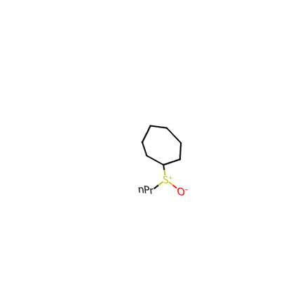 CCC[S+]([O-])C1CCCCCC1